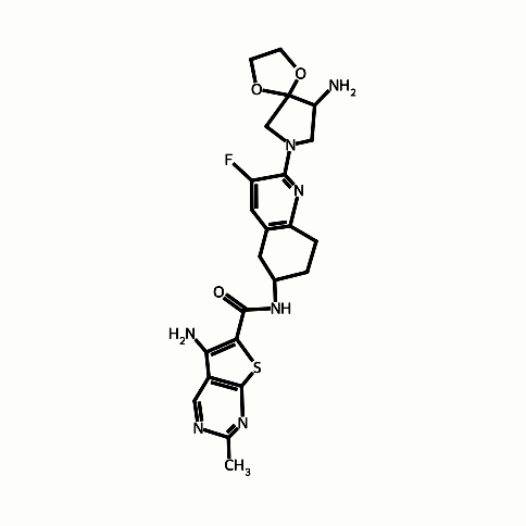 Cc1ncc2c(N)c(C(=O)NC3CCc4nc(N5CC(N)C6(C5)OCCO6)c(F)cc4C3)sc2n1